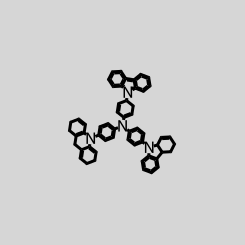 C1=CC2=C(CC1)CC1=CCCC=C1N2c1ccc(N(C2=CCC(n3c4ccccc4c4ccccc43)C=C2)c2ccc(N3c4ccccc4C4CCC=CC43)cc2)cc1